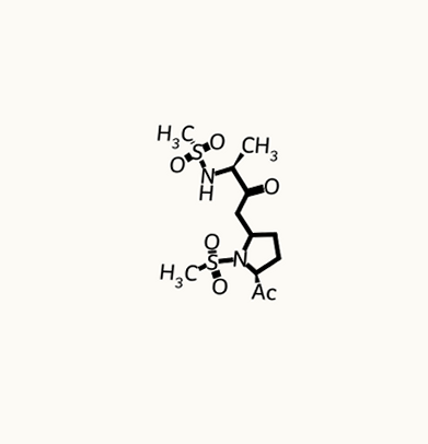 CC(=O)[C@@H]1CCC(CC(=O)[C@H](C)NS(C)(=O)=O)N1S(C)(=O)=O